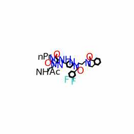 CCCn1c(=O)c2[nH]c(-c3ccc(N(CCCN4CCc5ccccc5C4=O)C(=O)c4ccc(F)c(F)c4)nc3)nc2n(CCNC(C)=O)c1=O